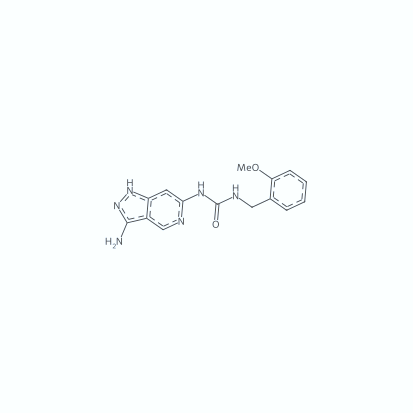 COc1ccccc1CNC(=O)Nc1cc2[nH]nc(N)c2cn1